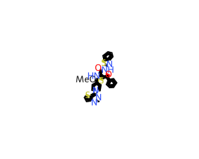 COC1(C2CCN(c3ncnc4ccsc34)CC2)NC(C(=O)Nc2nc3ccccc3s2)=C(C(=O)c2ccccc2)S1